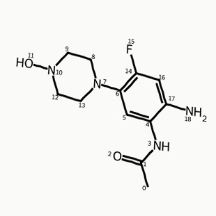 CC(=O)Nc1cc(N2CCN(O)CC2)c(F)cc1N